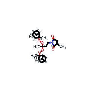 CC1=CC(=O)N(CCC(C)(OOC2(C)CCC3CC2C3(C)C)OOC2(C)CCC3CC2C3(C)C)C1=O